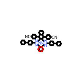 N#Cc1ccc(-c2c(-c3nc(-c4ccccc4)nc(-c4ccc(-c5ccccc5)cc4)n3)c(-c3nc(-c4ccccc4)nc(-c4ccc(-c5ccccc5)cc4)n3)c(-c3ccc(C#N)cc3)c3ccccc23)cc1